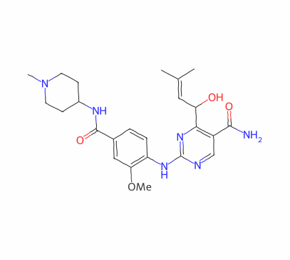 COc1cc(C(=O)NC2CCN(C)CC2)ccc1Nc1ncc(C(N)=O)c(C(O)C=C(C)C)n1